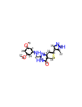 COc1cc(NCc2nc3c(c(=O)[nH]2)CSC(c2cn[nH]c2C)=C3)cc(OC)c1